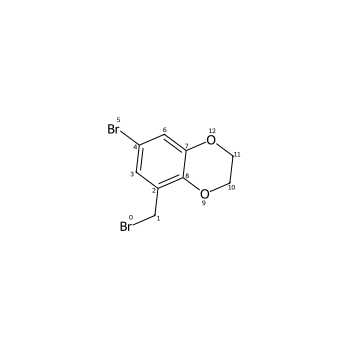 BrCc1cc(Br)cc2c1OCCO2